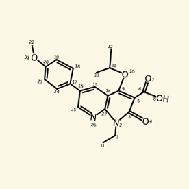 CCn1c(=O)c(C(=O)O)c(OC(C)C)c2cc(-c3ccc(OC)cc3)cnc21